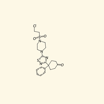 O=C1CCC(c2ccccc2)(c2nsc(N3CCN(S(=O)(=O)CCCl)CC3)n2)CC1